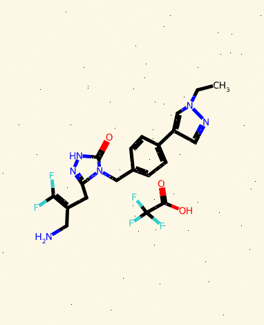 CCn1cc(-c2ccc(Cn3c(CC(CN)=C(F)F)n[nH]c3=O)cc2)cn1.O=C(O)C(F)(F)F